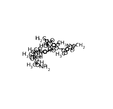 C=C1CC2C=Nc3cc(OCCCOc4c(OC)cc5c(c4C(=O)OCc4ccc(NC(=O)[C@H](C)NC(=O)[C@@H](NC(=O)CCC(C)(C)OCN)C(C)C)cc4)N[C@@H](O)[C@@H]4CC(=C)CN4C5=O)c(OC)cc3C(=O)N2C1